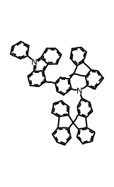 CC12c3ccccc3-c3cccc(c31)N(c1ccc3c(c1)C1(c4ccccc4-c4ccccc41)c1ccccc1-3)c1ccc(-c3cccc4c3c3ccccc3n4-c3ccccc3)cc12